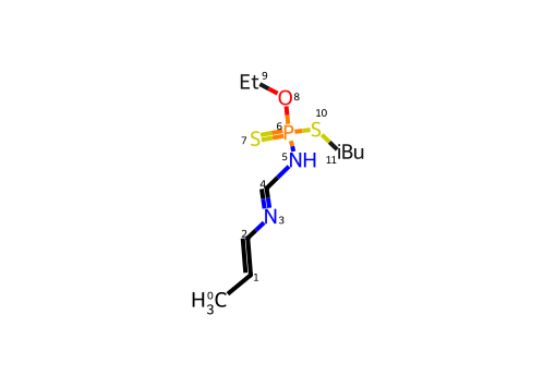 CC=CN=CNP(=S)(OCC)SC(C)CC